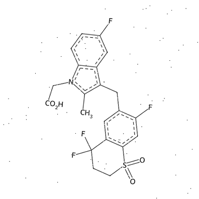 Cc1c(Cc2cc3c(cc2F)S(=O)(=O)CCC3(F)F)c2cc(F)ccc2n1CC(=O)O